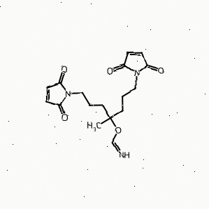 CC(CCCN1C(=O)C=CC1=O)(CCCN1C(=O)C=CC1=O)OC=N